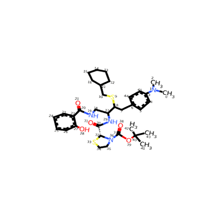 CN(C)c1ccc(CC(SCC2CCCCC2)C(CNC(=O)c2ccccc2O)NC(=O)[C@H]2SCCN2C(=O)OC(C)(C)C)cc1